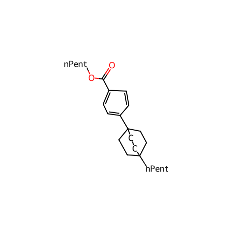 CCCCCOC(=O)c1ccc(C23CCC(CCCCC)(CC2)CC3)cc1